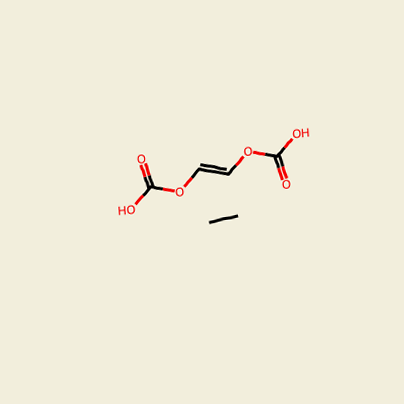 CC.O=C(O)O/C=C/OC(=O)O